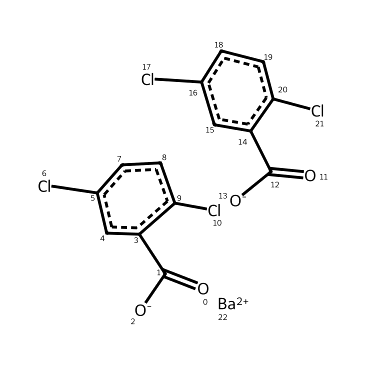 O=C([O-])c1cc(Cl)ccc1Cl.O=C([O-])c1cc(Cl)ccc1Cl.[Ba+2]